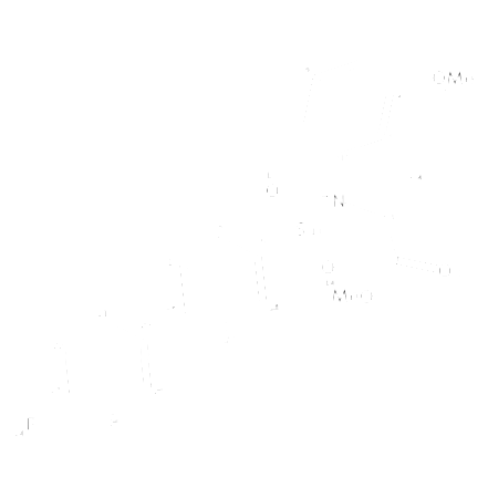 COC(=O)C1Cc2c(OC)cccc2N1S(=O)(=O)c1ccc(-c2ccc(F)cc2)cc1